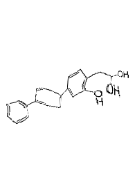 Oc1cc(-c2ccc(-c3ccccc3)cc2)ccc1CC(O)O